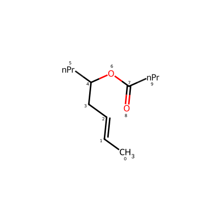 CC=CCC(CCC)OC(=O)CCC